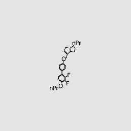 CCCOc1ccc(-c2ccc(OCC3=CCC4C(CCC)CCC34)cc2)c(F)c1F